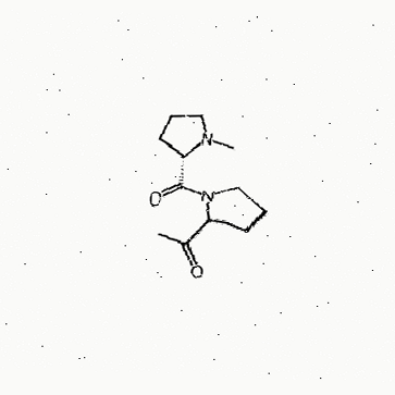 CC(=O)C1CCCN1C(=O)[C@@H]1CCCN1C